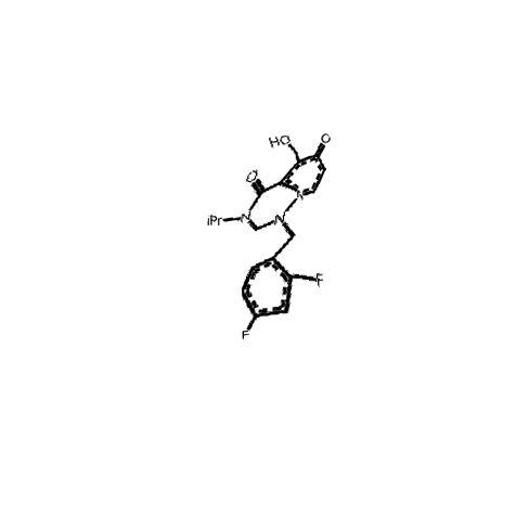 CC(C)N1CN(Cc2ccc(F)cc2F)n2ccc(=O)c(O)c2C1=O